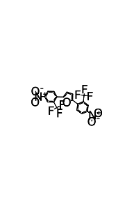 O=[N+]([O-])c1ccc(-c2ccc(-c3ccc([N+](=O)[O-])cc3C(F)(F)F)o2)c(C(F)(F)F)c1